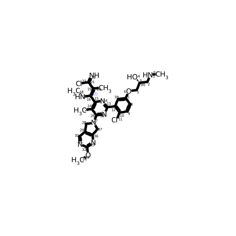 CNC[C@@H](O)COc1ccc(Cl)c(-c2nc(/C(NC)=C(\C)C(=N)Cl)c(C)c(N3Cc4cnc(OC)nc4C3)n2)c1